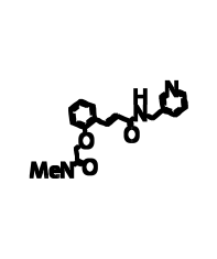 CNC(=O)COc1ccccc1C=CC(=O)NCc1cccnc1